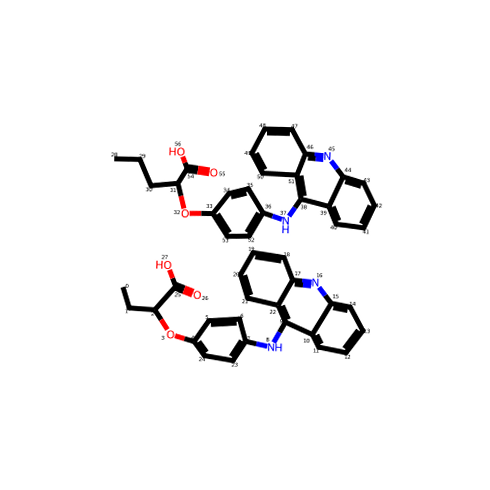 CCC(Oc1ccc(Nc2c3ccccc3nc3ccccc23)cc1)C(=O)O.CCCC(Oc1ccc(Nc2c3ccccc3nc3ccccc23)cc1)C(=O)O